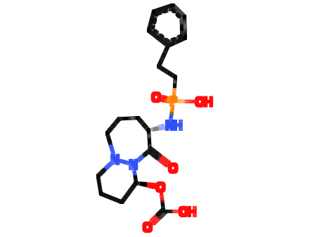 O=C(O)O[C@H]1CCCN2CCC[C@H](NP(=O)(O)CCc3ccccc3)C(=O)N12